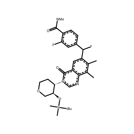 CNC(=O)c1ccc(C(F)c2cc3c(=O)n([C@H]4CCOC[C@@H]4O[Si](C)(C)C(C)(C)C)cnc3c(C)c2C)cc1F